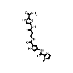 Cn1ccnc1C(=O)Nc1c[nH]c(C(=O)NCCC(=O)Nc2c[nH]c(C(N)=O)n2)c1